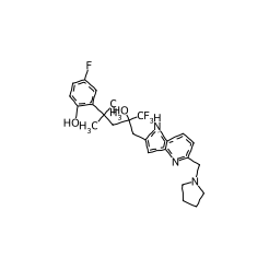 CC(C)(CC(O)(Cc1cc2nc(CN3CCCC3)ccc2[nH]1)C(F)(F)F)c1cc(F)ccc1O